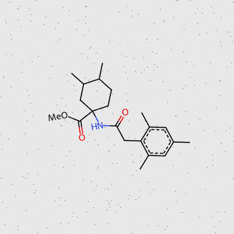 COC(=O)C1(NC(=O)Cc2c(C)cc(C)cc2C)CCC(C)C(C)C1